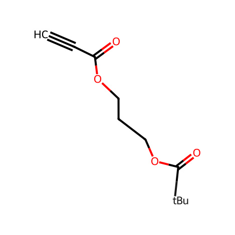 C#CC(=O)OCCCOC(=O)C(C)(C)C